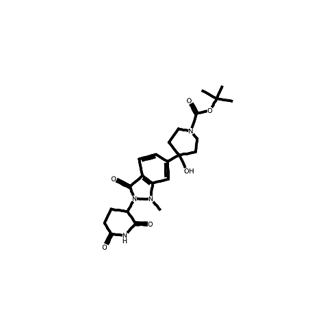 Cn1c2cc(C3(O)CCN(C(=O)OC(C)(C)C)CC3)ccc2c(=O)n1C1CCC(=O)NC1=O